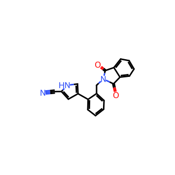 N#Cc1cc(-c2ccccc2CN2C(=O)c3ccccc3C2=O)c[nH]1